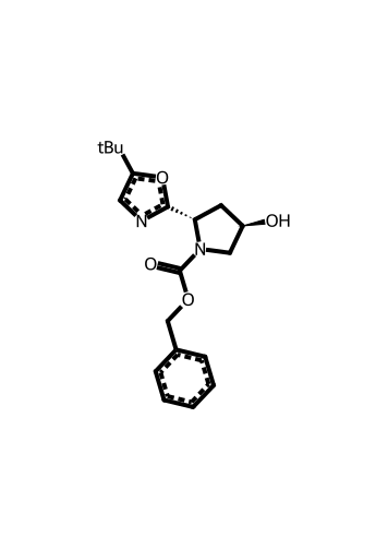 CC(C)(C)c1cnc([C@@H]2C[C@@H](O)CN2C(=O)OCc2ccccc2)o1